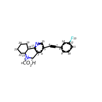 O=C(O)N1Cc2cc(C#Cc3cccc(F)c3)cnc2C2CCCCC21